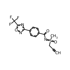 C#CCS(C)(=O)=NC(=O)c1ccc(-c2noc(C(F)(F)F)n2)cc1